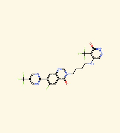 O=c1[nH]ncc(NCCCCn2cnc3cc(-c4ncc(C(F)(F)F)cn4)c(F)cc3c2=O)c1C(F)(F)F